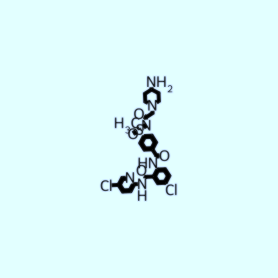 CS(=O)(=NC(=O)CN1CCC(N)CC1)c1ccc(C(=O)Nc2ccc(Cl)cc2C(=O)Nc2ccc(Cl)cn2)cc1